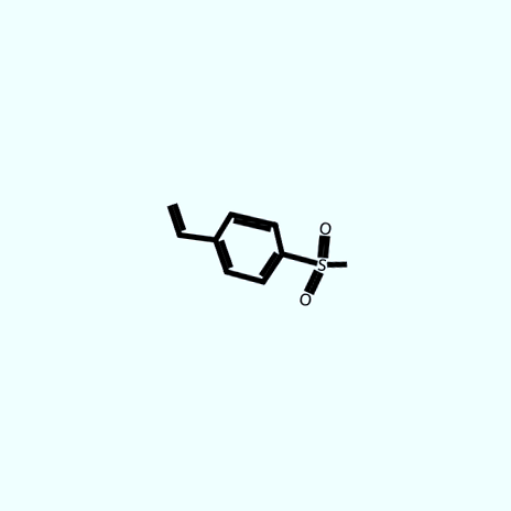 C=Cc1ccc(S(C)(=O)=O)cc1